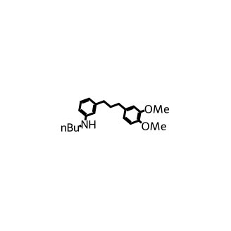 CCCCNc1cccc(CCCc2ccc(OC)c(OC)c2)c1